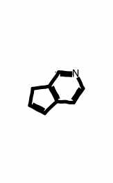 [c]1nccc2c1CC=C2